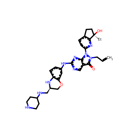 C=CCn1c(=O)c2cnc(Nc3ccc4c(c3)OC[C@@H](CNC3CCNCC3)N4)nc2n1-c1ccc2c(n1)[C@@](O)(CC)CC2